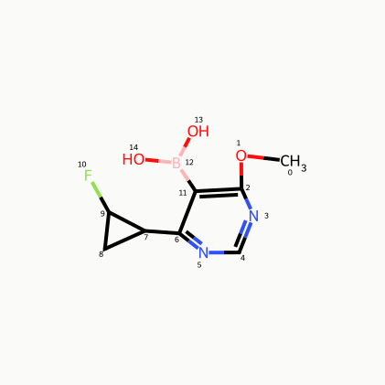 COc1ncnc(C2CC2F)c1B(O)O